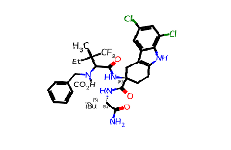 CC[C@H](C)[C@H](NC(=O)[C@@]1(NC(=O)C(N(Cc2ccccc2)C(=O)O)C(C)(CC)C(F)(F)F)CCc2[nH]c3c(Cl)cc(Cl)cc3c2C1)C(N)=O